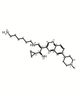 CN1CCC(c2ccc3ncc(/C(=C/NCCCCCCN)C(=N)C4CC4)nc3c2)CC1